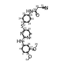 COc1ccc(Nc2nccc(Sc3ccc(NC(=O)CC#N)cc3)n2)cc1OC